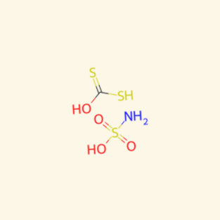 NS(=O)(=O)O.OC(=S)S